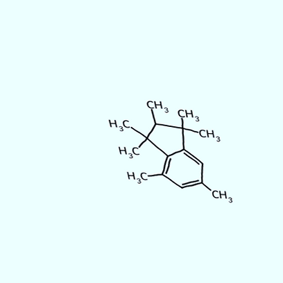 Cc1cc(C)c2c(c1)C(C)(C)C(C)C2(C)C